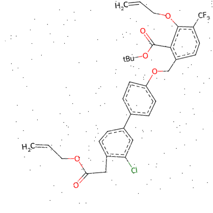 C=CCOC(=O)Cc1ccc(-c2ccc(OCc3ccc(C(F)(F)F)c(OCC=C)c3C(=O)OC(C)(C)C)cc2)cc1Cl